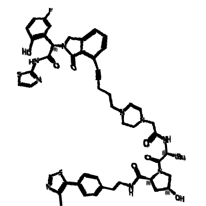 Cc1ncsc1-c1ccc(CCNC(=O)[C@@H]2C[C@H](O)CN2C(=O)[C@@H](NC(=O)CN2CCN(CCCC#Cc3cccc4c3C(=O)N([C@@H](C(=O)Nc3nccs3)c3cc(F)ccc3O)C4)CC2)C(C)(C)C)cc1